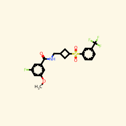 COc1cc(F)cc(C(=O)NCC2CC(S(=O)(=O)c3cccc(C(F)(F)F)c3)C2)c1